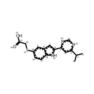 CC(C)c1cc(-c2cc3cc(SCC(=O)O)ccc3[nH]2)ncn1